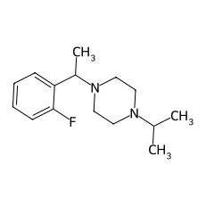 CC(C)N1CCN(C(C)c2ccccc2F)CC1